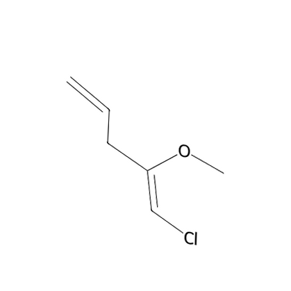 C=CCC(=CCl)OC